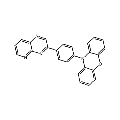 c1ccc2c(c1)Oc1ccccc1N2c1ccc(-c2cnc3cccnc3n2)cc1